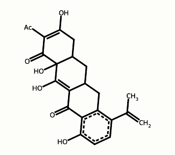 C=C(C)c1ccc(O)c2c1CC1CC3CC(O)=C(C(C)=O)C(=O)C3(O)C(O)=C1C2=O